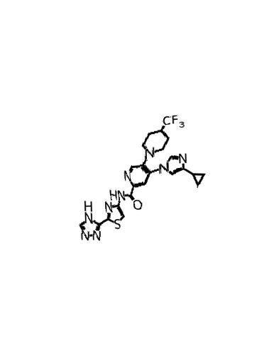 O=C(Nc1csc(-c2nnc[nH]2)n1)c1cc(-n2cnc(C3CC3)c2)c(N2CCC(C(F)(F)F)CC2)cn1